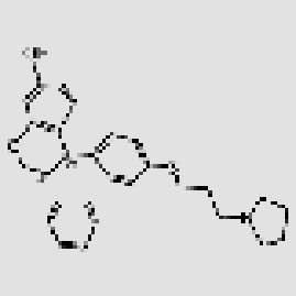 Oc1ccc2c(c1)OC[C@@H](c1ccccc1)[C@H]2c1ccc(SCCCN2CCCC2)cc1